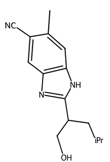 Cc1cc2[nH]c(C(CO)CC(C)C)nc2cc1C#N